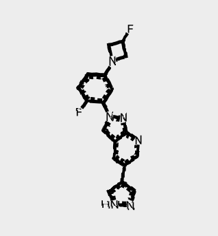 Fc1ccc(N2CC(F)C2)cc1-n1cc2cc(-c3cn[nH]c3)cnc2n1